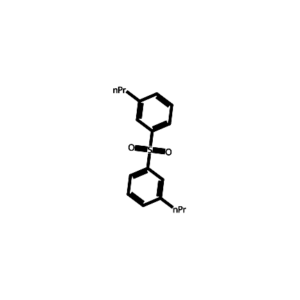 CCCc1cccc(S(=O)(=O)c2cccc(CCC)c2)c1